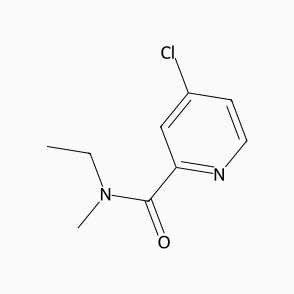 CCN(C)C(=O)c1cc(Cl)ccn1